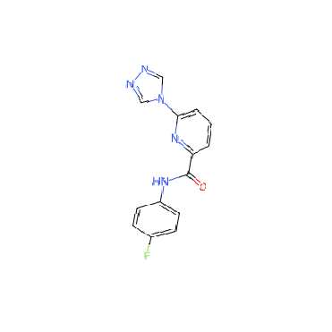 O=C(Nc1ccc(F)cc1)c1cccc(-n2cnnc2)n1